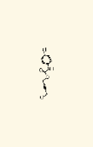 O=C(Nc1ccc(Cl)cc1)OCC#CCCl